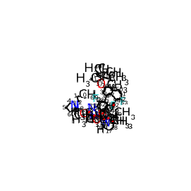 C=CCN1CCC[C@]1(C)COc1nc(N2C[C@H]3CC[C@@H](C2)N3C(=O)OC(C)(C)C)c2cc(F)c(-c3cc(O[Si](C(C)C)(C(C)C)C(C)C)cc4ccc(F)c(C#C[Si](C(C)C)(C(C)C)C(C)C)c34)c(F)c2n1